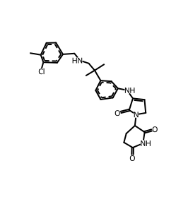 Cc1ccc(CNCC(C)(C)c2cccc(NC3=CCN(C4CCC(=O)NC4=O)C3=O)c2)cc1Cl